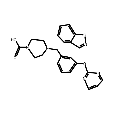 O=C(O)N1CCN(Cc2cccc(Oc3ncccn3)c2)CC1.c1ccc2oncc2c1